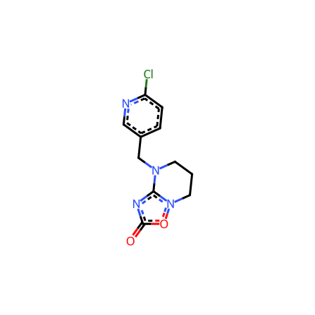 O=c1nc2n(o1)CCCN2Cc1ccc(Cl)nc1